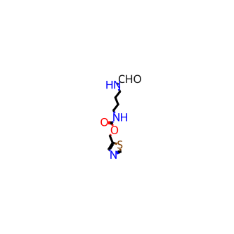 O=CNCCCCNC(=O)OCc1cncs1